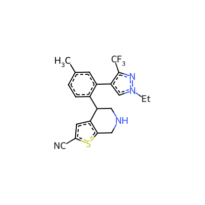 CCn1cc(-c2cc(C)ccc2C2CNCc3sc(C#N)cc32)c(C(F)(F)F)n1